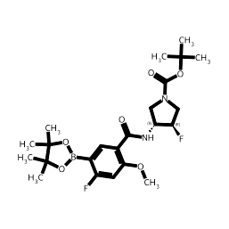 COc1cc(F)c(B2OC(C)(C)C(C)(C)O2)cc1C(=O)N[C@@H]1CN(C(=O)OC(C)(C)C)C[C@H]1F